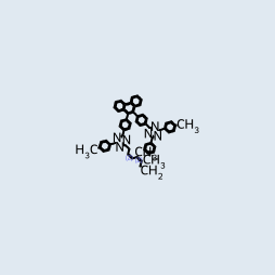 C=C/C=C(C)\C=C/Cc1nc(-c2ccc(C)cc2)nc(-c2ccc(-c3c(-c4ccc(-c5nc(-c6ccc(C)cc6)nc(-c6ccc(C)cc6)n5)cc4)c4ccccc4c4ccccc34)cc2)n1